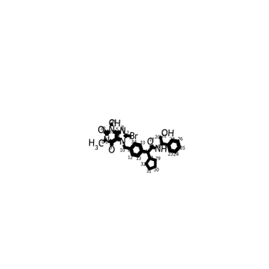 Cn1c(=O)c2c(nc(Br)n2Cc2ccc(C(C(=O)NC(CO)c3ccccc3)C3CCCC3)cc2)n(C)c1=O